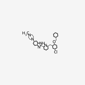 CN1CCN(c2ccc3nc(-c4cccc(Cc5cc(Cl)ccc5OCc5ccccc5)n4)[nH]c3c2)CC1